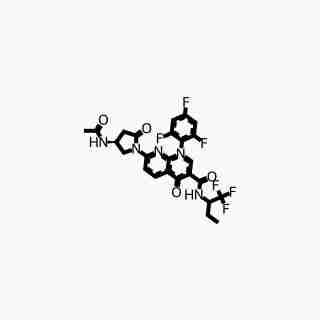 CCC(NC(=O)c1cn(-c2c(F)cc(F)cc2F)c2nc(N3C[C@@H](NC(C)=O)CC3=O)ccc2c1=O)C(F)(F)F